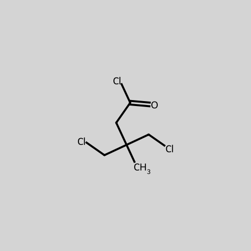 CC(CCl)(CCl)CC(=O)Cl